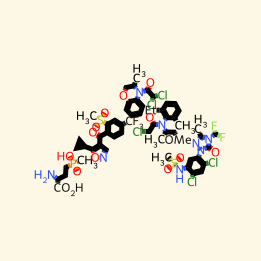 CC1COc2ccccc2N1C(=O)C(Cl)Cl.CCc1cccc(C)c1N(C(=O)CCl)C(C)COC.CP(=O)(O)CCC(N)C(=O)O.CS(=O)(=O)c1cc(C(F)(F)F)ccc1C(=O)c1cnoc1C1CC1.Cc1nn(-c2cc(NS(C)(=O)=O)c(Cl)cc2Cl)c(=O)n1C(F)F